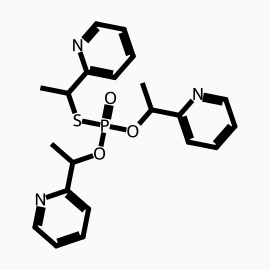 CC(OP(=O)(OC(C)c1ccccn1)SC(C)c1ccccn1)c1ccccn1